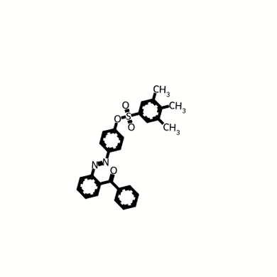 Cc1cc(S(=O)(=O)Oc2ccc(N=Nc3ccccc3C(=O)c3ccccc3)cc2)cc(C)c1C